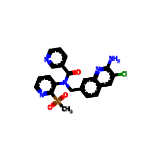 CS(=O)(=O)c1ncccc1N(Cc1ccc2cc(Cl)c(N)nc2c1)C(=O)c1cccnc1